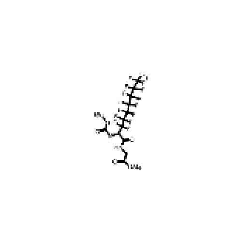 COC(=O)CNC(=O)C(NC(=O)OC(C)(C)C)C(F)(F)C(F)(F)C(F)(F)C(F)(F)C(F)(F)C(F)(F)C(F)(F)C(F)(F)F